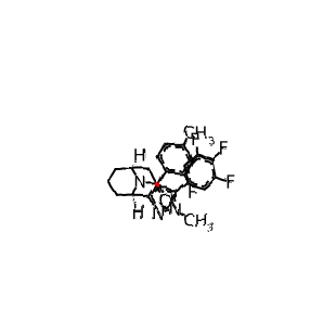 Cc1ccc(C(=O)N2[C@H]3CCC[C@@H]2c2nn(C)c(-c4cc(F)c(F)c(F)c4)c2C3)c(F)c1